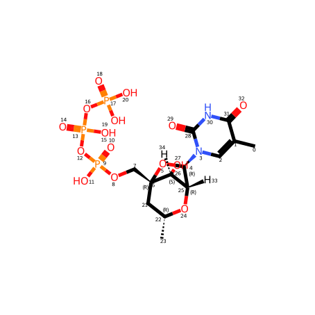 Cc1cn([C@@H]2O[C@@]3(COP(=O)(O)OP(=O)(O)OP(=O)(O)O)C[C@@H](C)O[C@@H]2[C@@H]3O)c(=O)[nH]c1=O